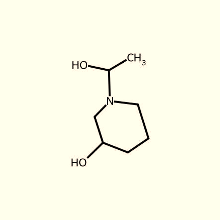 CC(O)N1CCCC(O)C1